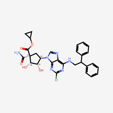 NC(=O)[C@]1(C(=O)OC2CC2)C[C@@H](n2cnc3c(NCC(c4ccccc4)c4ccccc4)nc(Cl)nc32)[C@H](O)[C@@H]1O